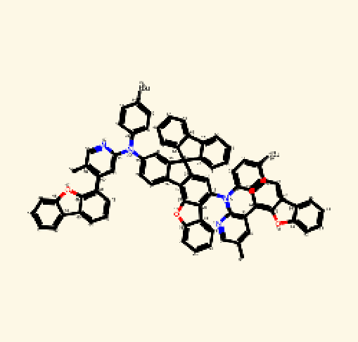 Cc1cnc(N(c2ccc(C(C)(C)C)cc2)c2cc3c(c4oc5ccccc5c24)-c2ccc(N(c4ccc(C(C)(C)C)cc4)c4cc(-c5cccc6c5oc5ccccc56)c(C)cn4)cc2C32c3ccccc3-c3ccccc32)c(-c2cccc3c2oc2ccccc23)c1